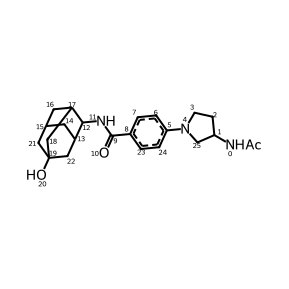 CC(=O)NC1CCN(c2ccc(C(=O)NC3C4CC5CC3CC(O)(C5)C4)cc2)C1